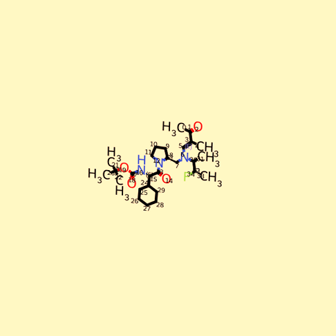 CC(=O)/C(C)=C/N(C[C@@H]1CCCN1C(=O)[C@@H](NC(=O)OC(C)(C)C)C1CCCCC1)C(C)[C@H](C)F